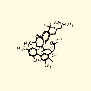 Cc1cc(C)c(-c2cc(C)c(F)c([C@](O)(CC(=O)O)NC(=O)C(CC(C)C)n3cc(CCCN(C)C)c(C(F)(F)F)cc3=O)c2)c(C)c1